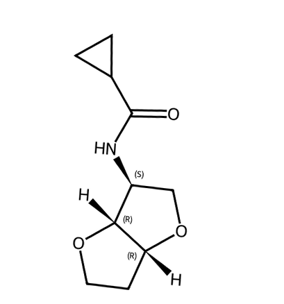 O=C(N[C@H]1CO[C@@H]2CCO[C@H]12)C1CC1